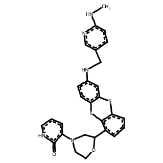 CNc1ccc(CNc2ccc3c(c2)Sc2cccc(C4CN(c5ccc[nH]c5=O)CCO4)c2S3)cn1